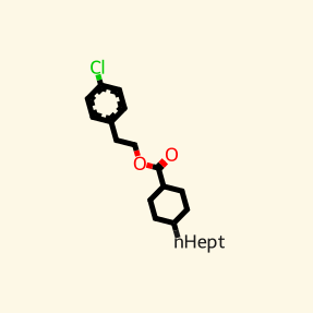 CCCCCCCC1CCC(C(=O)OCCc2ccc(Cl)cc2)CC1